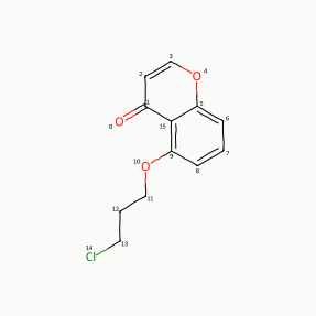 O=c1ccoc2cccc(OCCCCl)c12